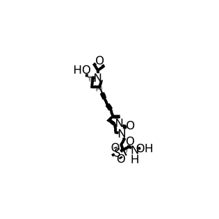 C[C@@](CCN1Cc2cc(C#CC#C[C@H]3C[C@H](CO)N(C4COC4)C3)cn2C1=O)(C(=O)NO)S(C)(=O)=O